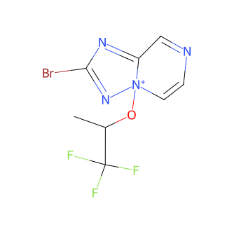 CC(O[N+]12C=CN=CC1=NC(Br)=N2)C(F)(F)F